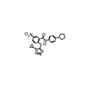 O=C(Nc1ccc(C2CCCC2)cc1)c1cc([N+](=O)[O-])ccc1Sc1nnnn1C1CC1